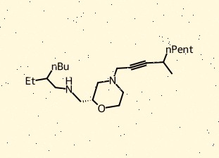 CCCCCC(C)C#CCN1CCO[C@H](CNCC(CC)CCCC)C1